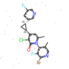 Cc1cnc(Br)c(F)c1-n1c(C)cc([C@H]2C[C@@H]2c2cncc(F)c2)c(Cl)c1=O